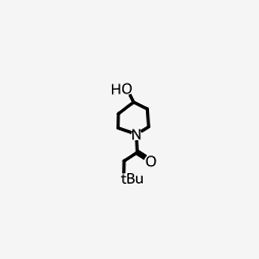 [CH2]C(C)(C)CC(=O)N1CCC(O)CC1